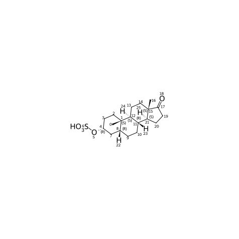 C[C@]12CC[C@@H](OS(=O)(=O)O)C[C@H]1CC[C@@H]1[C@@H]2CC[C@]2(C)C(=O)CC[C@@H]12